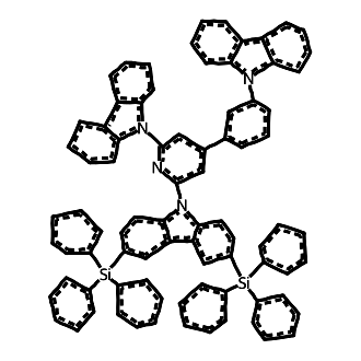 c1ccc([Si](c2ccccc2)(c2ccccc2)c2ccc3c(c2)c2cc([Si](c4ccccc4)(c4ccccc4)c4ccccc4)ccc2n3-c2cc(-c3cccc(-n4c5ccccc5c5ccccc54)c3)cc(-n3c4ccccc4c4ccccc43)n2)cc1